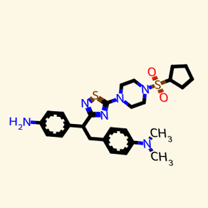 CN(C)c1ccc(CC(c2ccc(N)cc2)c2nsc(N3CCN(S(=O)(=O)C4CCCC4)CC3)n2)cc1